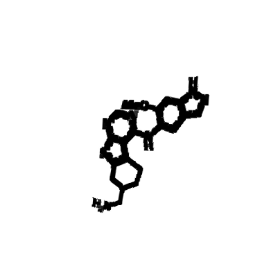 COc1cc2[nH]ncc2cc1Nc1ncnc2sc3c(c12)CCC(CN)C3